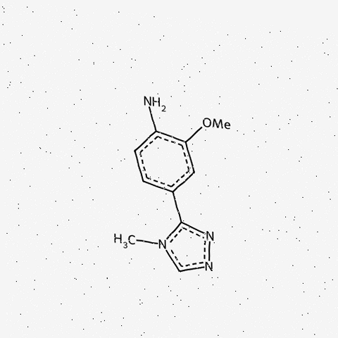 COc1cc(-c2nncn2C)ccc1N